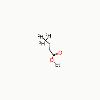 [2H]C([2H])([2H])CCC(=O)OCC